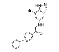 O=C(CNc1cc(Br)c2[nH]ncc2c1)c1ccc(-c2ccccc2)cc1